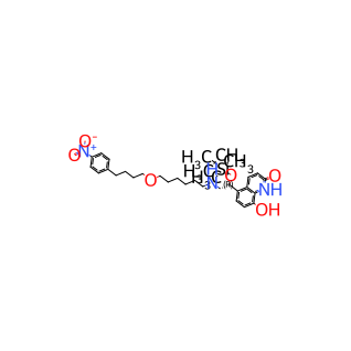 CC(C)(C)[Si](C)(C)O[C@@H](CNCCCCCCOCCCCc1ccc([N+](=O)[O-])cc1)c1ccc(O)c2[nH]c(=O)ccc12